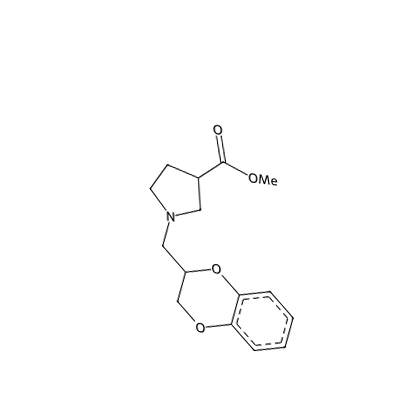 COC(=O)C1CCN(CC2COc3ccccc3O2)C1